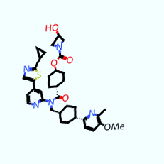 COc1ccc([C@H]2CC[C@H](CN(c3cc(-c4cnc(C5CC5)s4)ccn3)C(=O)[C@H]3CC[C@H](OC(=O)N4CC(O)C4)CC3)CC2)nc1C